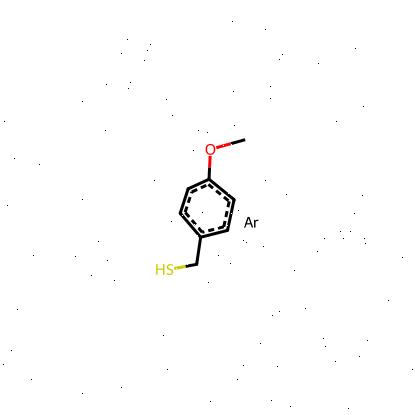 COc1ccc(CS)cc1.[Ar]